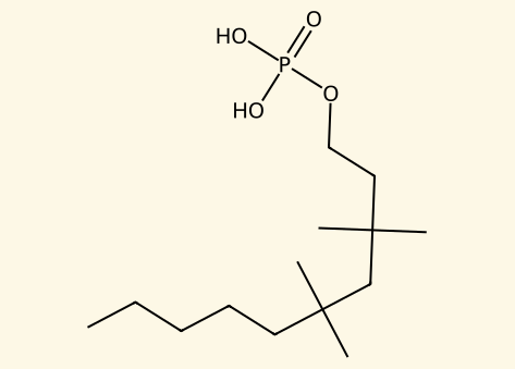 CCCCCC(C)(C)CC(C)(C)CCOP(=O)(O)O